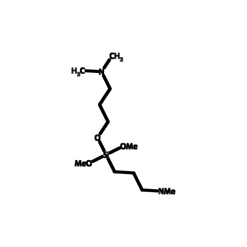 CNCCC[Si](OC)(OC)OCCCN(C)C